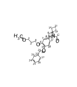 COCCCOc1cc(CC2(NC=O)CCC2)ccc1OCc1ccccc1